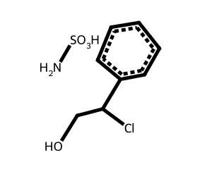 NS(=O)(=O)O.OCC(Cl)c1ccccc1